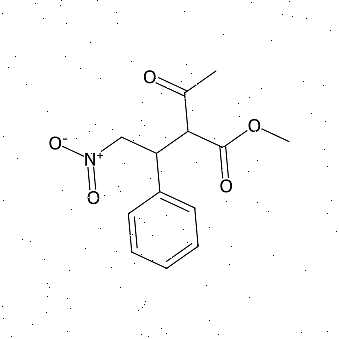 COC(=O)C(C(C)=O)C(C[N+](=O)[O-])c1ccccc1